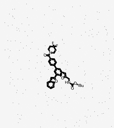 CC(C)(C)OC(=O)NCc1cc2cc(-c3ccc(C(=O)N4CCC(F)(F)CC4)cc3)cc(-c3cc4ccccc4o3)c2o1